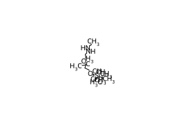 CCNNCCOC(C)(C)CCOC(C)(C)[Si](C)(C)C(C)(C)C